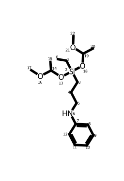 CC[Si](CCCNc1ccccc1)(OC(C)OC)OC(C)OC